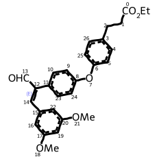 CCOC(=O)CCc1ccc(Oc2ccc(/C(C=O)=C\c3cc(OC)cc(OC)c3)cc2)cc1